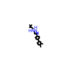 Cc1ccc(-c2ccc(-c3cc(NCC4CC4(C)C)[nH]n3)cc2)cc1C